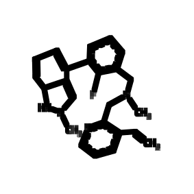 C=Cc1cccnc1CN(C)Cc1cccc(C2=CC=CC3NN(C)C=C23)c1F